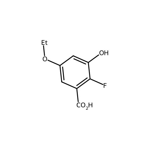 CCOc1cc(O)c(F)c(C(=O)O)c1